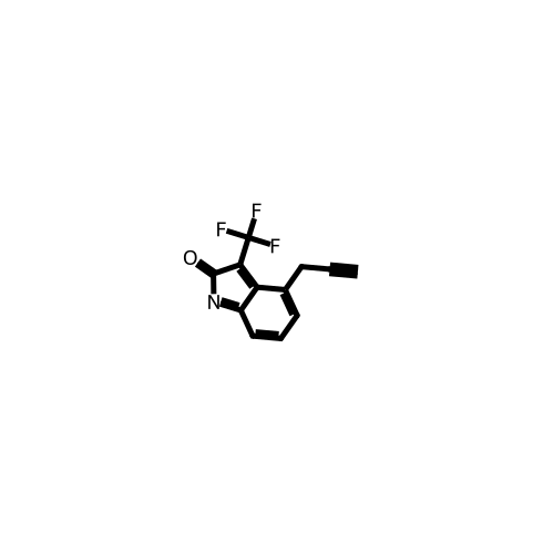 C#CCc1cccc2c1=C(C(F)(F)F)C(=O)N=2